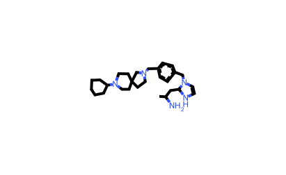 CC(N)CC1NC=CN1Cc1ccc(CN2CCC3(CCN(C4CCCCC4)CC3)C2)cc1